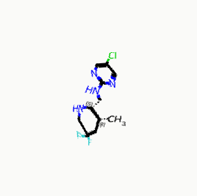 C[C@@H]1CC(F)(F)CN[C@@H]1CNc1ncc(Cl)cn1